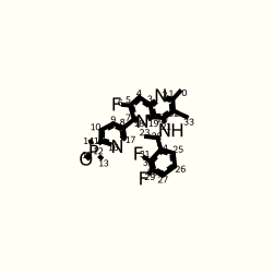 Cc1nc2cc(F)c(-c3ccc(P(C)(C)=O)nc3)nc2c(NC(C)c2cccc(F)c2F)c1C